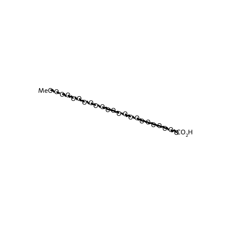 COCCOCCOCCOCCOCCOCCOCCOCCOCCOCCOCCOCCOCCOCCOCCOCCOCCOCCOCCOCCOCCOCCOC(=O)O